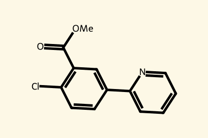 COC(=O)c1cc(-c2ccccn2)ccc1Cl